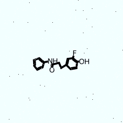 O=C(CCc1ccc(O)c(F)c1)Nc1ccccc1